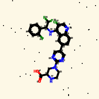 O=C(O)C1CN(c2ncc(-c3ccc4ncc(Cl)c(N[C@@H](c5ccccc5F)C(F)F)c4c3)cn2)CCN1